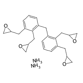 N.N.c1cc(Cc2cccc(CC3CO3)c2CC2CO2)c(CC2CO2)c(CC2CO2)c1